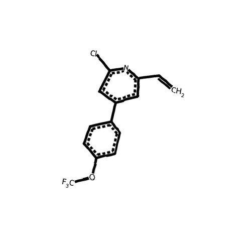 C=Cc1cc(-c2ccc(OC(F)(F)F)cc2)cc(Cl)n1